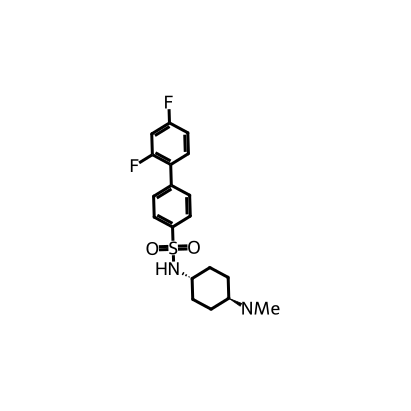 CN[C@H]1CC[C@H](NS(=O)(=O)c2ccc(-c3ccc(F)cc3F)cc2)CC1